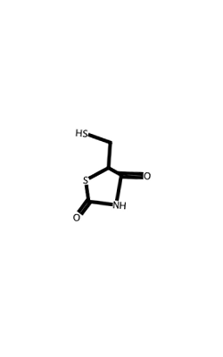 O=C1NC(=O)C(CS)S1